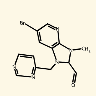 CN1c2ncc(Br)cc2N(Cc2ccncn2)C1C=O